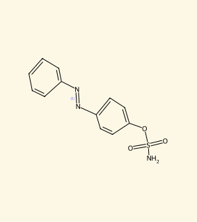 NS(=O)(=O)Oc1ccc(/N=N/c2ccccc2)cc1